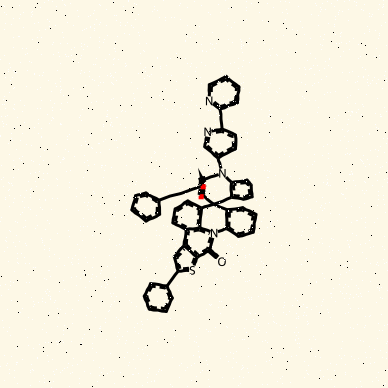 O=c1c2sc(-c3ccccc3)cc2c2cccc3c2n1-c1ccccc1C31c2ccccc2N(c2ccc(-c3ccccn3)nc2)c2ccc(-c3ccccc3)cc21